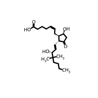 CCCCC(C)(C)[C@H](O)/C=C/[C@H]1C(=O)C[C@H](O)[C@@H]1C/C=C\CCCC(=O)O